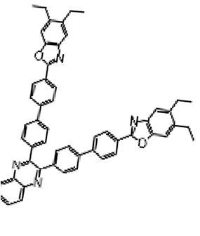 CCc1cc2nc(-c3ccc(-c4ccc(-c5nc6ccccc6nc5-c5ccc(-c6ccc(-c7nc8cc(CC)c(CC)cc8o7)cc6)cc5)cc4)cc3)oc2cc1CC